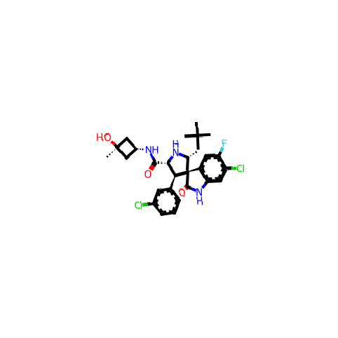 CC(C)(C)C[C@H]1N[C@@H](C(=O)N[C@H]2C[C@](C)(O)C2)[C@H](c2cccc(Cl)c2)[C@@]12C(=O)Nc1cc(Cl)c(F)cc12